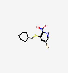 O=[N+]([O-])c1ncc(Br)cc1SCC1CCCCC1